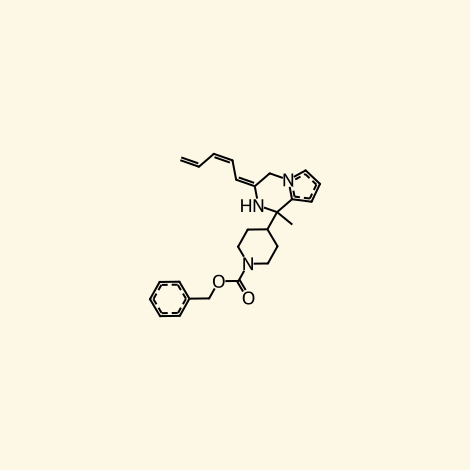 C=C/C=C\C=C1/Cn2cccc2C(C)(C2CCN(C(=O)OCc3ccccc3)CC2)N1